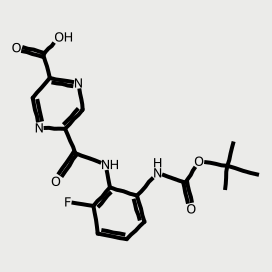 CC(C)(C)OC(=O)Nc1cccc(F)c1NC(=O)c1cnc(C(=O)O)cn1